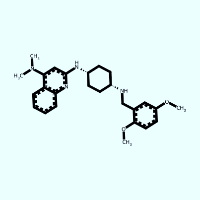 COc1ccc(OC)c(CN[C@H]2CC[C@@H](Nc3cc(N(C)C)c4ccccc4n3)CC2)c1